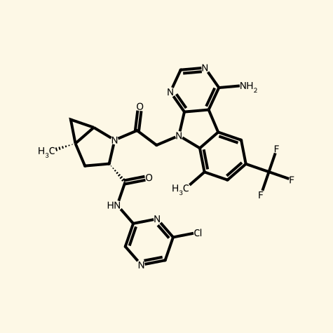 Cc1cc(C(F)(F)F)cc2c3c(N)ncnc3n(CC(=O)N3C4C[C@]4(C)C[C@H]3C(=O)Nc3cncc(Cl)n3)c12